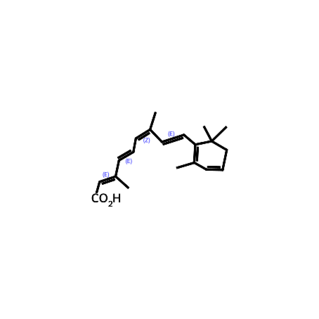 CC1=C(/C=C/C(C)=C\C=C\C(C)=C\C(=O)O)C(C)(C)CC=C1